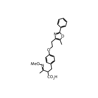 CON=C(C)C(Cc1ccc(OCCc2nc(-c3ccccc3)oc2C)cc1)C(=O)O